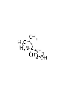 CC(C)C[C@](C)(N)[SiH2]CO